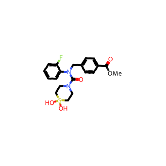 COC(=O)c1ccc(CN(C(=O)N2CCS(O)(O)CC2)c2ccccc2F)cc1